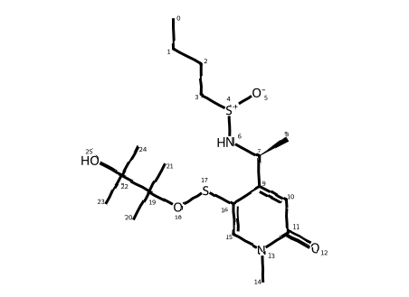 CCCC[S+]([O-])N[C@@H](C)c1cc(=O)n(C)cc1SOC(C)(C)C(C)(C)O